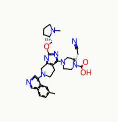 Cc1ccc2cncc(N3CCc4c(nc(OC[C@@H]5CCCN5C)nc4N4CCN(C(=O)O)[C@@H](CC#N)C4)C3)c2c1